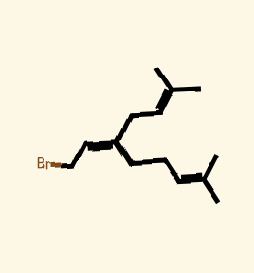 CC(C)=CCC/C(=C\CBr)CC=C(C)C